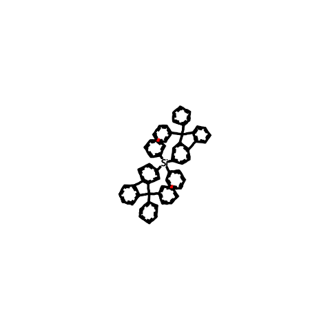 c1ccc(C2(c3ccccc3)c3ccccc3-c3ccc([Si](c4ccccc4)(c4ccccc4)c4ccc5c(c4)C(c4ccccc4)(c4ccccc4)c4ccccc4-5)cc32)cc1